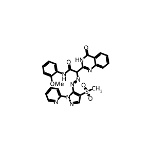 COc1ccccc1NC(=O)C(N=Nc1c(S(C)(=O)=O)cnn1-c1ccccn1)c1nc2ccccc2c(=O)[nH]1